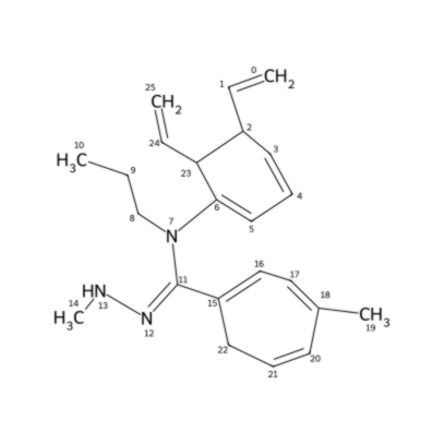 C=CC1C=CC=C(N(CCC)/C(=N\NC)C2=CC=C(C)C=CC2)C1C=C